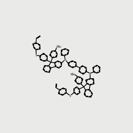 C=Cc1ccc(Sc2ccc(C3(c4ccc(C(C)(C)C)cc4)c4ccccc4-c4ccc(N(c5ccccc5)c5ccc(-c6ccc(N(c7ccccc7)c7ccc8c(c7)C(c7ccc(Sc9ccc(C=C)cc9)cc7)(c7ccc(C(C)(C)C)cc7)c7ccccc7-8)cc6)cc5)cc43)cc2)cc1